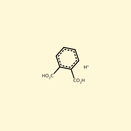 O=C(O)c1ccccc1C(=O)O.[H+]